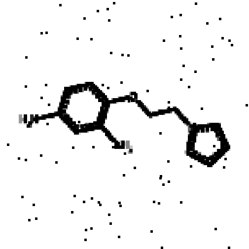 Nc1ccc(OCCn2cccc2)c(N)c1